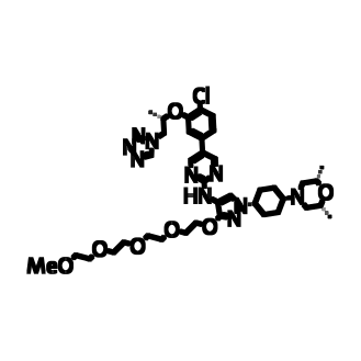 COCCOCCOCCOCCOc1nn([C@H]2CC[C@H](N3C[C@@H](C)O[C@@H](C)C3)CC2)cc1Nc1ncc(-c2ccc(Cl)c(O[C@@H](C)Cn3cnnn3)c2)cn1